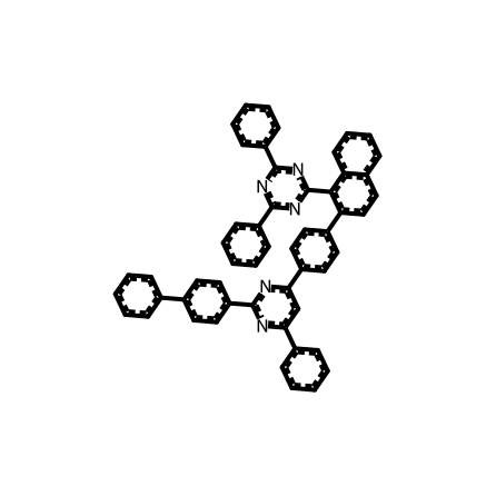 c1ccc(-c2ccc(-c3nc(-c4ccccc4)cc(-c4ccc(-c5ccc6ccccc6c5-c5nc(-c6ccccc6)nc(-c6ccccc6)n5)cc4)n3)cc2)cc1